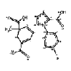 CC1(C(=O)O)C=CC=C(C(=O)O)C1.O=C(O)c1ccnn1-c1ccc(F)cc1